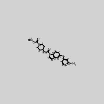 CC(C)(C)OC(=O)N1CCC(NC(=O)n2ccc3cc(Oc4ccnc(N)c4)ccc32)CC1